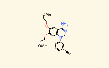 C#Cc1cccc(N2CN=C(N)c3cc(OCCOC)c(OCCOC)cc32)c1